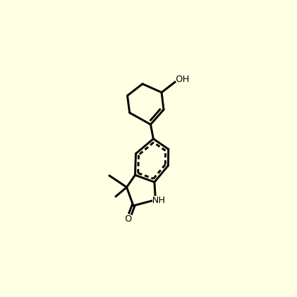 CC1(C)C(=O)Nc2ccc(C3=CC(O)CCC3)cc21